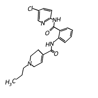 CCCN1CC=C(C(=O)Nc2ccccc2C(=O)Nc2ccc(Cl)cn2)CC1